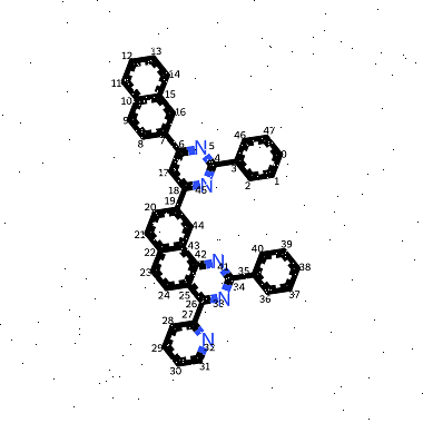 c1ccc(-c2nc(-c3ccc4ccccc4c3)cc(-c3ccc4ccc5c(-c6ccccn6)nc(-c6ccccc6)nc5c4c3)n2)cc1